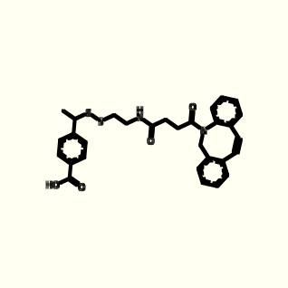 CC(SSCCNC(=O)CCC(=O)N1Cc2ccccc2C#Cc2ccccc21)c1ccc(C(=O)O)cc1